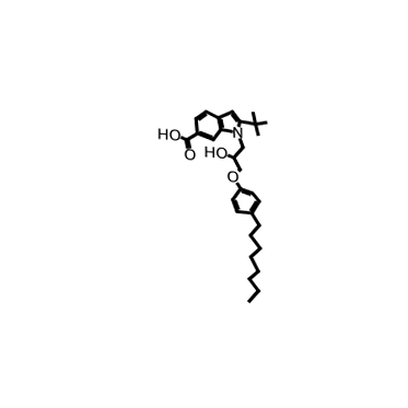 CCCCCCCCc1ccc(OCC(O)Cn2c(C(C)(C)C)cc3ccc(C(=O)O)cc32)cc1